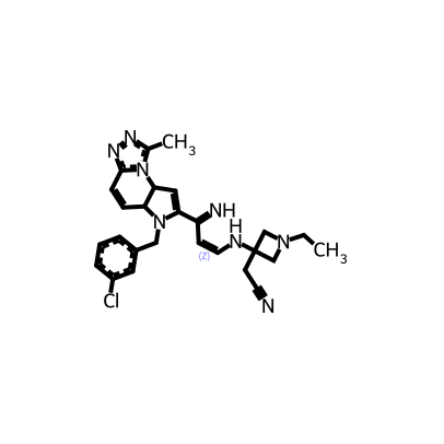 CCN1CC(CC#N)(N/C=C\C(=N)C2=CC3C(C=Cc4nnc(C)n43)N2Cc2cccc(Cl)c2)C1